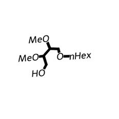 CCCCCCOCC(OC)C(CO)OC